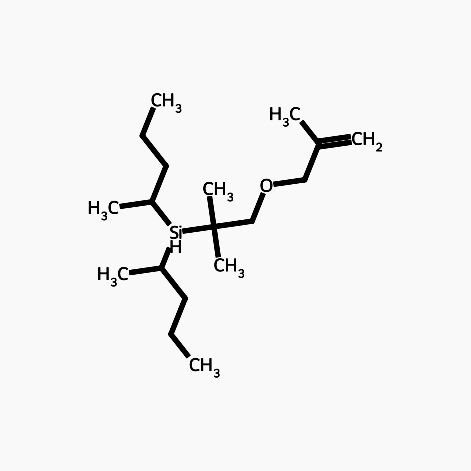 C=C(C)COCC(C)(C)[SiH](C(C)CCC)C(C)CCC